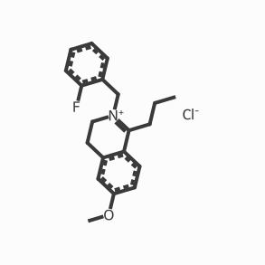 CCCC1=[N+](Cc2ccccc2F)CCc2cc(OC)ccc21.[Cl-]